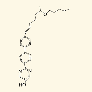 CCCCCOC(C)CCC/C=C/c1ccc(-c2ccc(-c3ncc(O)cn3)cc2)cc1